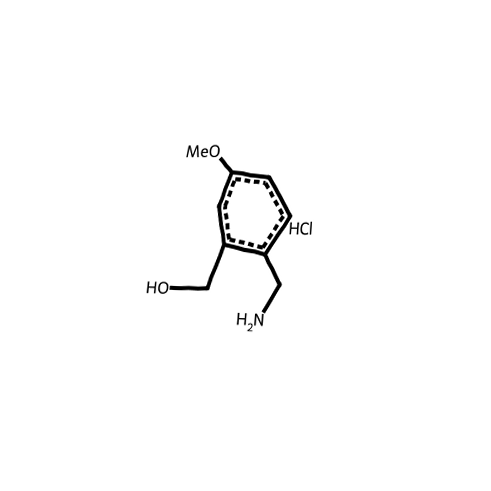 COc1ccc(CN)c(CO)c1.Cl